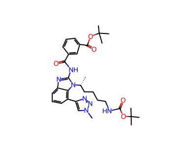 C[C@H](CCCCNC(=O)OC(C)(C)C)n1c(NC(=O)c2cccc(C(=O)OC(C)(C)C)c2)nc2cccc(-c3cn(C)nn3)c21